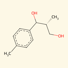 Cc1ccc(C(O)[C@H](C)CO)cc1